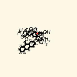 COC(=O)C(C)(CC(C)(C)C)CC(C)(CC(C)(C(=O)OCc1c2ccccc2cc2ccccc12)C(C)(C)C)C(=O)OCCO